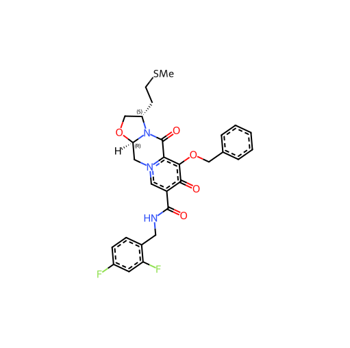 CSCC[C@H]1CO[C@@H]2Cn3cc(C(=O)NCc4ccc(F)cc4F)c(=O)c(OCc4ccccc4)c3C(=O)N12